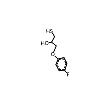 OC(CS)COc1ccc(F)cc1